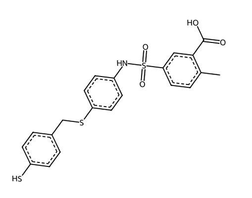 Cc1ccc(S(=O)(=O)Nc2ccc(SCc3ccc(S)cc3)cc2)cc1C(=O)O